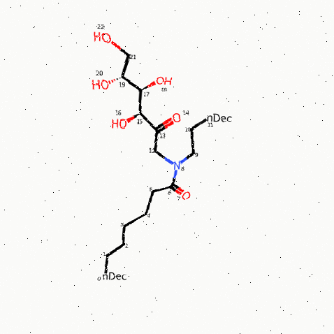 CCCCCCCCCCCCCCCC(=O)N(CCCCCCCCCCCC)CC(=O)[C@@H](O)[C@H](O)[C@H](O)CO